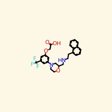 O=C(O)COc1cc(N2CCOC(CNCCc3cccc4ccccc34)C2)cc(C(F)(F)F)c1